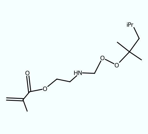 C=C(C)C(=O)OCCNCOOC(C)(C)CC(C)C